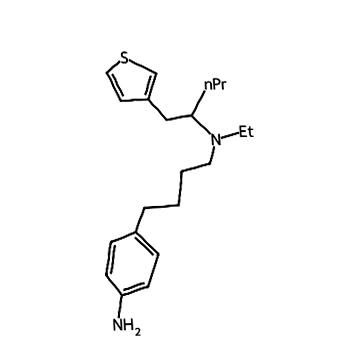 CCCC(Cc1ccsc1)N(CC)CCCCc1ccc(N)cc1